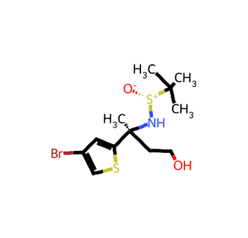 CC(C)(C)[S@@+]([O-])N[C@@](C)(CCO)c1cc(Br)cs1